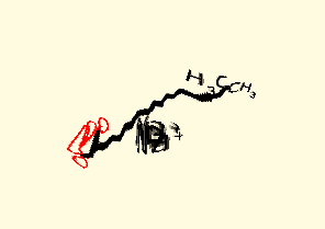 CC(C)CCCCCCCCCCCCCCCC(CC(=O)[O-])C(=O)[O-].[Na+].[Na+]